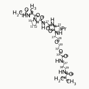 C=CC(=O)N[C@@H](C)C(=O)N1CCC[C@H]1C(=O)NCC(=O)N[C@@H](CC(C)C)C(=O)NCCOCCOCC(=O)NCCCNC(=O)C(=C)C